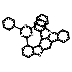 c1ccc(-c2nc(-c3ccccc3)nc(-c3cccc4sc5cc6c7ccccc7n7c8ccccc8c(c5c34)c67)n2)cc1